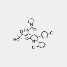 CC(C)(O)C(=O)c1oc2nc(-c3ccccc3Cl)c(-c3ccc(Cl)cc3)cc2c1NC(=O)N1CCCC1